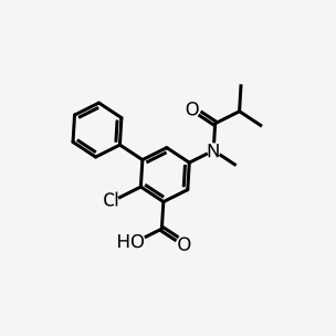 CC(C)C(=O)N(C)c1cc(C(=O)O)c(Cl)c(-c2ccccc2)c1